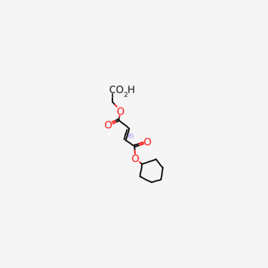 O=C(O)COC(=O)/C=C/C(=O)OC1CCCCC1